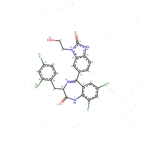 O=C1Nc2c(F)cc(Cl)cc2C(c2ccc3[nH]c(=O)n(CCO)c3c2)=NC1Cc1ccc(F)cc1Cl